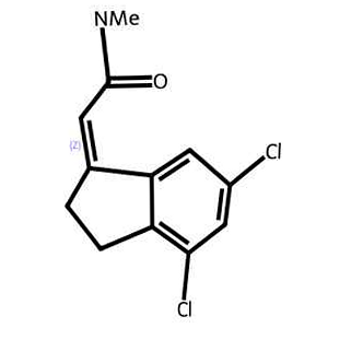 CNC(=O)/C=C1/CCc2c(Cl)cc(Cl)cc21